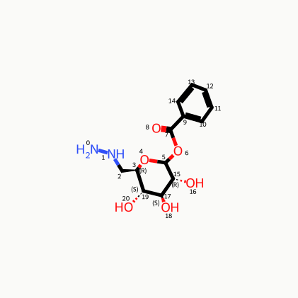 NNC[C@H]1OC(OC(=O)c2ccccc2)[C@H](O)[C@@H](O)[C@@H]1O